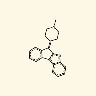 CN1CCC(=C2c3ccccc3-c3c2sc2ccccc32)CC1